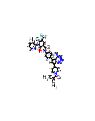 Cc1c(C(F)F)cc(C(=O)Nc2ccc(-c3cc(C4CCN(C(=O)C(C)C)CC4)n4nnnc(N)c34)cc2)c(=O)n1-c1ccccn1